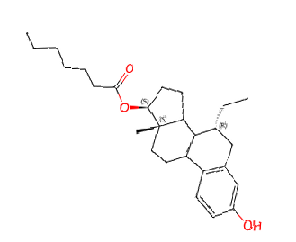 CCCCCCC(=O)O[C@H]1CCC2C3C(CC[C@@]21C)c1ccc(O)cc1C[C@H]3CC